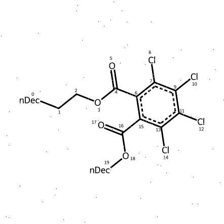 CCCCCCCCCCCCOC(=O)c1c(Cl)c(Cl)c(Cl)c(Cl)c1C(=O)OCCCCCCCCCC